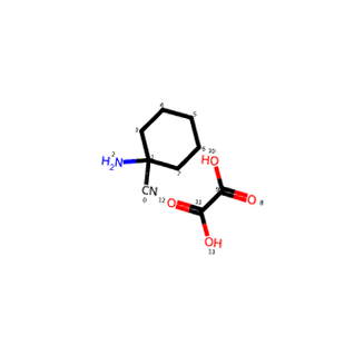 N#CC1(N)CCCCC1.O=C(O)C(=O)O